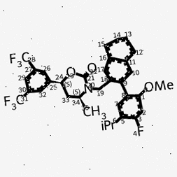 COc1cc(F)c(C(C)C)cc1-c1cc2ccccc2cc1CN1C(=O)O[C@H](c2cc(C(F)(F)F)cc(C(F)(F)F)c2)C[C@@H]1C